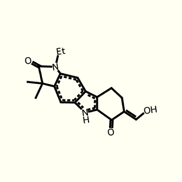 CCN1C(=O)C(C)(C)c2cc3[nH]c4c(c3cc21)CC/C(=C\O)C4=O